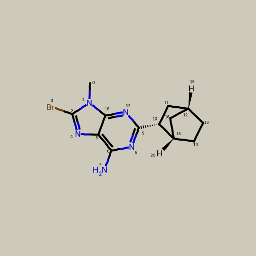 Cn1c(Br)nc2c(N)nc([C@@H]3C[C@@H]4CC[C@H]3C4)nc21